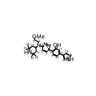 COCCN(c1ccc(-c2ccc(-c3cn[nH]c3)cc2O)nn1)C1CC(C)(C)NC(C)(C)C1